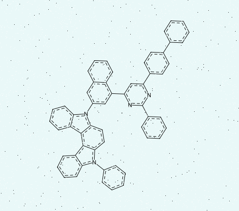 c1ccc(-c2ccc(-c3cc(-c4cc(-n5c6ccccc6c6c7c8ccccc8n(-c8ccccc8)c7ccc65)cc5ccccc45)nc(-c4ccccc4)n3)cc2)cc1